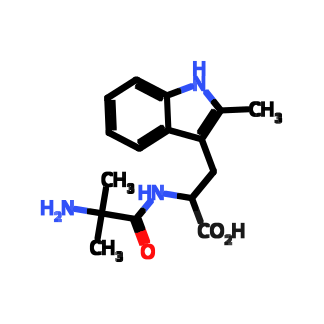 Cc1[nH]c2ccccc2c1CC(NC(=O)C(C)(C)N)C(=O)O